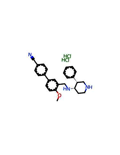 COc1ccc(-c2ccc(C#N)cc2)cc1CN[C@H]1CCNC[C@H]1c1ccccc1.Cl.Cl